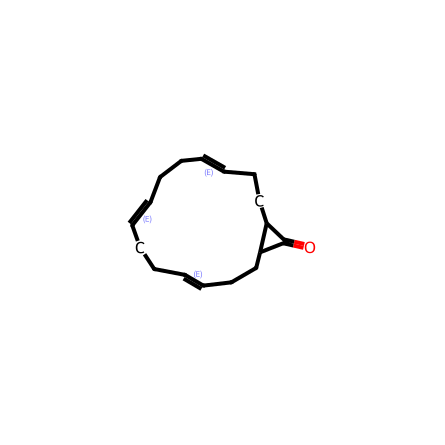 O=C1C2CC/C=C/CC/C=C/CC/C=C/CCC12